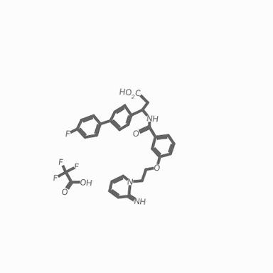 N=c1ccccn1CCOc1cccc(C(=O)NC(CC(=O)O)c2ccc(-c3ccc(F)cc3)cc2)c1.O=C(O)C(F)(F)F